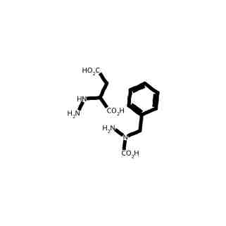 NN(Cc1ccccc1)C(=O)O.NNC(CC(=O)O)C(=O)O